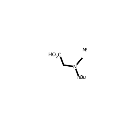 CCCCN(C)CC(=O)O.[N]